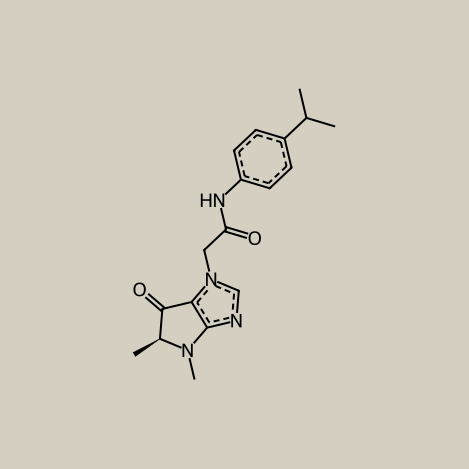 CC(C)c1ccc(NC(=O)Cn2cnc3c2C(=O)[C@H](C)N3C)cc1